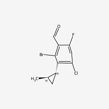 C[C@@H]1C[C@H]1c1c(Cl)cc(F)c(C=O)c1Br